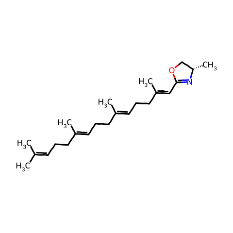 CC(C)=CCC/C(C)=C/CC/C(C)=C/CC/C(C)=C/C1=N[C@@H](C)CO1